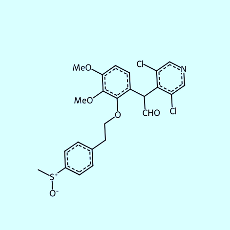 COc1ccc(C(C=O)c2c(Cl)cncc2Cl)c(OCCc2ccc([S+](C)[O-])cc2)c1OC